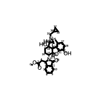 COC(=O)CC1c2ccccc2C(=O)N1[C@@H]1CC[C@@]2(O)[C@H]3C(C[C@@]24c2c(C)ccc(O)c2O[C@@H]14)N3CC1CC1